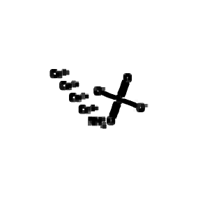 O=S(=O)([O-])[O-].[Ce+4].[Ce+4].[Ce+4].[Ce+4].[NH4+]